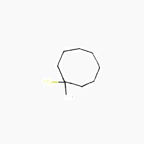 CCCC1(S)CCCCCCC1